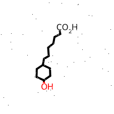 O=C(O)CCCCCCC1CCC(O)CC1